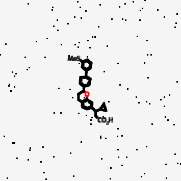 CSc1cccc(-c2ccc(C3CCc4ccc(C(CC(=O)O)C5CC5)cc4O3)cc2)c1